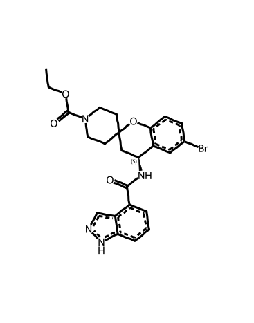 CCOC(=O)N1CCC2(CC1)C[C@H](NC(=O)c1cccc3[nH]ncc13)c1cc(Br)ccc1O2